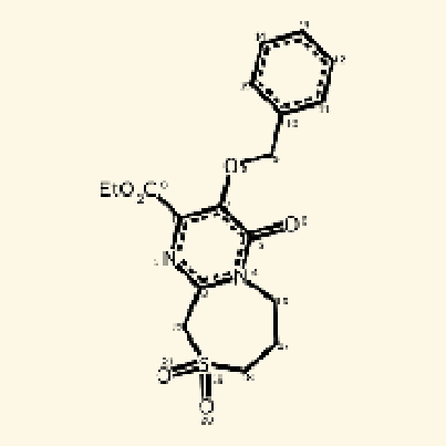 CCOC(=O)c1nc2n(c(=O)c1OCc1ccccc1)CCCS(=O)(=O)C2